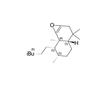 CC[C@@H](C)CC[C@H]1[C@@H](C)CC[C@H]2C(C)(C)CC3=C(O3)[C@]12C